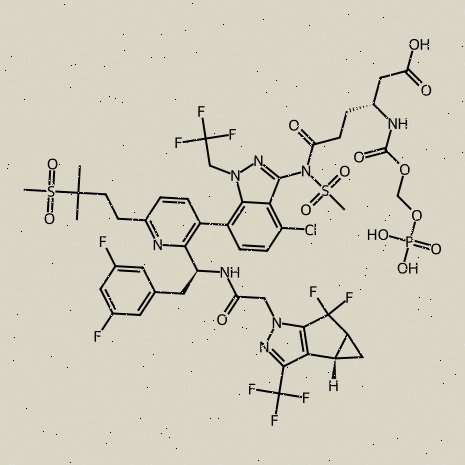 CC(C)(CCc1ccc(-c2ccc(Cl)c3c(N(C(=O)CC[C@H](CC(=O)O)NC(=O)OCOP(=O)(O)O)S(C)(=O)=O)nn(CC(F)(F)F)c23)c([C@H](Cc2cc(F)cc(F)c2)NC(=O)Cn2nc(C(F)(F)F)c3c2C(F)(F)C2C[C@H]32)n1)S(C)(=O)=O